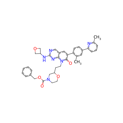 Cc1cccc(-c2ccc(-c3cc4cnc(NC5COC5)nc4n(CCC4CN(C(=O)OCc5ccccc5)CCO4)c3=O)c(C)c2)n1